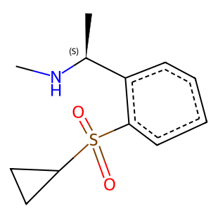 CN[C@@H](C)c1ccccc1S(=O)(=O)C1CC1